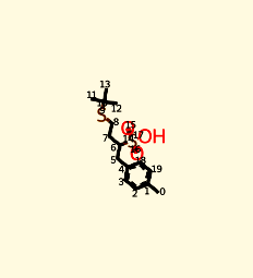 Cc1ccc(CC(CCSC(C)(C)C)S(=O)(=O)O)cc1